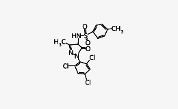 CC1=NN(c2c(Cl)cc(Cl)cc2Cl)C(=O)C1NS(=O)(=O)c1ccc(C)cc1